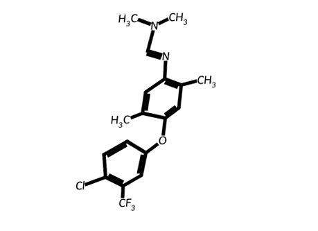 Cc1cc(Oc2ccc(Cl)c(C(F)(F)F)c2)c(C)cc1N=CN(C)C